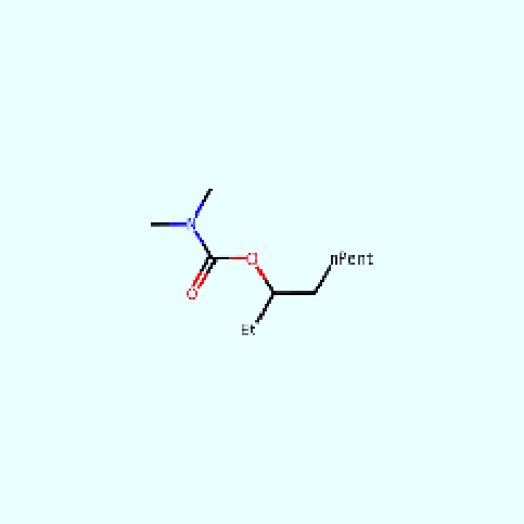 CCCCCCC(CC)OC(=O)N(C)C